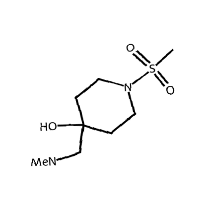 CNCC1(O)CCN(S(C)(=O)=O)CC1